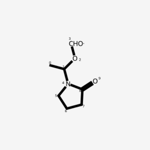 CC(O[C]=O)N1CCCC1=O